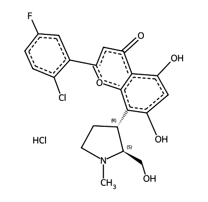 CN1CC[C@H](c2c(O)cc(O)c3c(=O)cc(-c4cc(F)ccc4Cl)oc23)[C@H]1CO.Cl